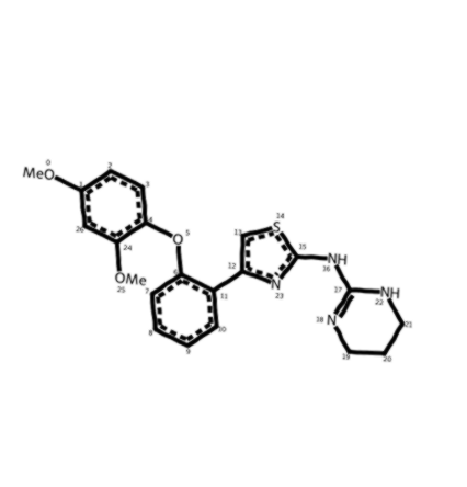 COc1ccc(Oc2ccccc2-c2csc(NC3=NCCCN3)n2)c(OC)c1